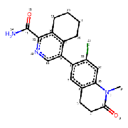 CN1C(=O)CCc2cc(-c3cnc(C(N)=O)c4c3CCC[CH]4)c(F)cc21